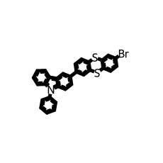 Brc1ccc2c(c1)Sc1ccc(-c3ccc4c(c3)c3ccccc3n4-c3ccccc3)cc1S2